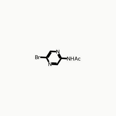 CC(=O)Nc1cnc(Br)cn1